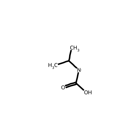 CC(C)[N]C(=O)O